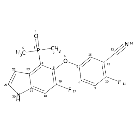 CP(C)(=O)c1c(Oc2ccc(F)c(C#N)c2)c(F)cc2[nH]ccc12